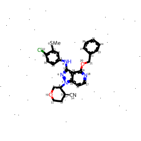 CSc1cc(Nc2nn(C3COCC[C@@H]3C#N)c3ccnc(OCc4ccccc4)c23)ccc1Cl